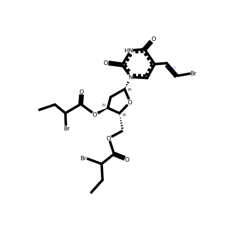 CCC(Br)C(=O)OC[C@H]1O[C@@H](n2cc(/C=C/Br)c(=O)[nH]c2=O)C[C@@H]1OC(=O)C(Br)CC